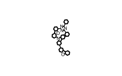 c1ccc(-c2nc(-c3ccccc3)nc(-c3cccc4c3oc3c(-n5c6ccccc6c6cc(-c7ccc8oc9ccccc9c8c7)ccc65)cccc34)n2)cc1